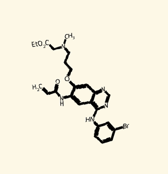 C=CC(=O)Nc1cc2c(Nc3cccc(Br)c3)ncnc2cc1OCCCN(C)CC(=O)OCC